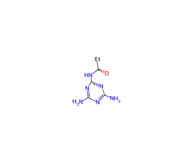 CCC(=O)Nc1nc(N)nc(N)n1